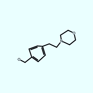 [O]Cc1ccc(CCN2CCOCC2)cc1